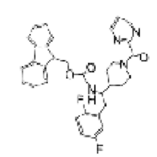 O=C(NC(Cc1cc(F)ccc1F)C1CCN(C(=O)c2ncccn2)CC1)OCC1c2ccccc2-c2ccccc21